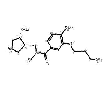 COCCCOc1cc(C(=O)N(C[C@@H]2CNC[C@@H]2OC)C(C)C)ccc1OC